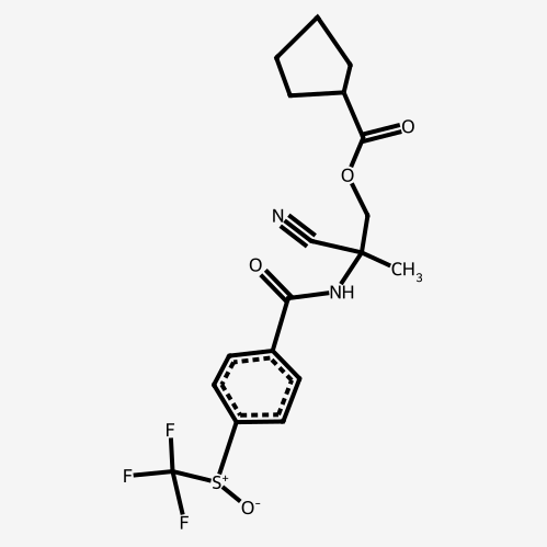 CC(C#N)(COC(=O)C1CCCC1)NC(=O)c1ccc([S+]([O-])C(F)(F)F)cc1